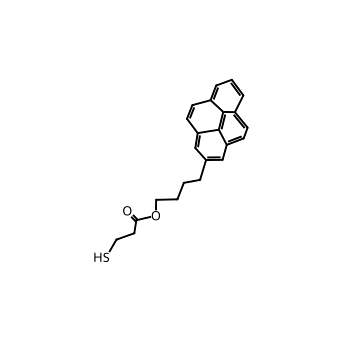 O=C(CCS)OCCCCc1cc2ccc3cccc4ccc(c1)c2c34